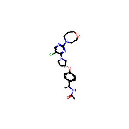 CC(=O)N[C@@H](C)c1ccc(O[C@@H]2CCN(c3nc(N4CCCOCC4)ncc3Cl)C2)cc1